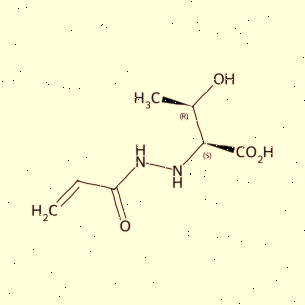 C=CC(=O)NN[C@H](C(=O)O)[C@@H](C)O